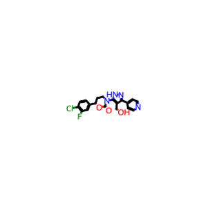 O=C1OC(c2ccc(Cl)c(F)c2)CCN1c1[nH]nc(-c2ccncc2)c1CO